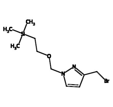 C[Si](C)(C)CCOCn1ccc(CBr)n1